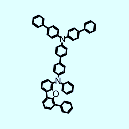 c1ccc(-c2ccc(N(c3ccc(-c4ccccc4)cc3)c3ccc(-c4ccc(N(c5ccccc5)c5cccc6c5oc5c(-c7ccccc7)cccc56)cc4)cc3)cc2)cc1